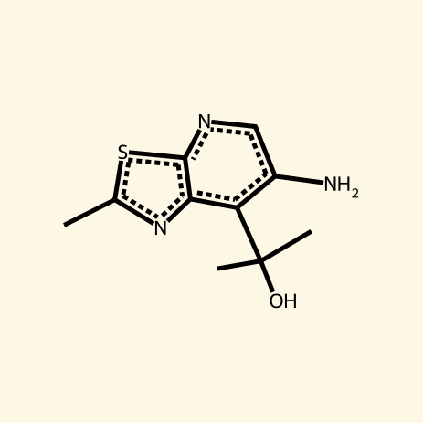 Cc1nc2c(C(C)(C)O)c(N)cnc2s1